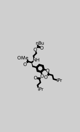 CCCCC(=O)OCCN[C@@H](Cc1ccc(OC(=O)CCC(C)C)c(OC(=O)CCC(C)C)c1)C(=O)OC